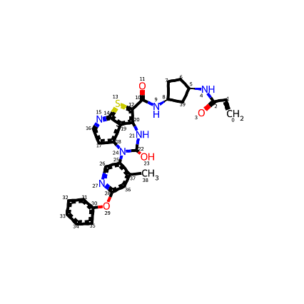 C=CC(=O)N[C@@H]1CC[C@H](NC(=O)c2sc3nccc4c3c2NC(O)N4c2cnc(Oc3ccccc3)cc2C)C1